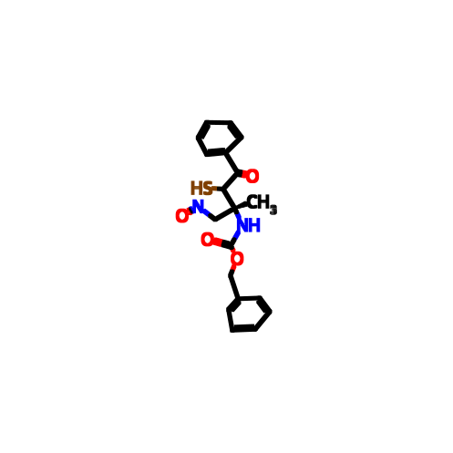 C[C@](CN=O)(NC(=O)OCc1ccccc1)C(S)C(=O)c1ccccc1